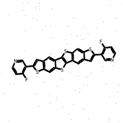 Fc1ccncc1-c1cc2cc3c(cc2s1)sc1c2cc4cc(-c5cnccc5F)sc4cc2sc31